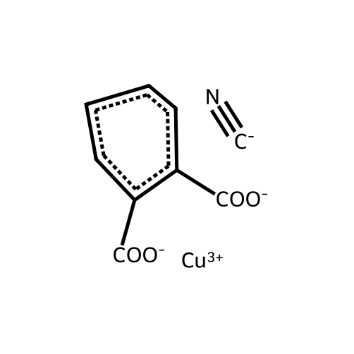 O=C([O-])c1ccccc1C(=O)[O-].[C-]#N.[Cu+3]